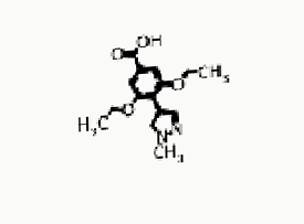 CCOc1cc(C(=O)O)cc(OCC)c1C1C=NN(C)C1